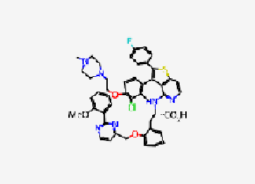 COc1ccccc1-c1nccc(COc2ccccc2C[C@H](Nc2nccc3sc(-c4ccc(F)cc4)c(-c4ccc(OCCN5CCN(C)CC5)c(Cl)c4C)c23)C(=O)O)n1